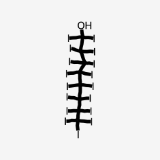 OC(I)(I)C(I)(I)C(I)(I)C(I)(I)C(I)(I)C(I)(I)C(I)(I)C(I)(I)I